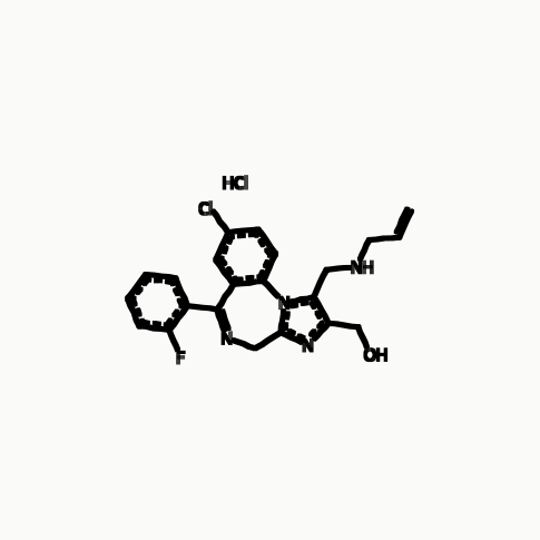 C=CCNCc1c(CO)nc2n1-c1ccc(Cl)cc1C(c1ccccc1F)=NC2.Cl